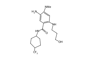 CNc1cc(NCCCO)c(C(=O)NC2CCC(C(F)(F)F)CC2)cc1N